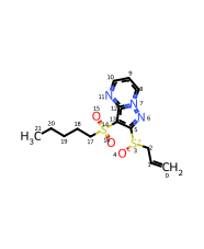 C=CC[S+]([O-])c1nn2cccnc2c1S(=O)(=O)CCCCC